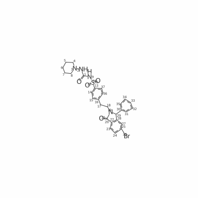 O=C(NN1CCCCC1)NS(=O)(=O)c1ccc(CCN2C(=O)c3ccc(Br)cc3C2c2ccccc2)cc1